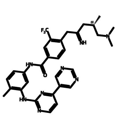 Cc1ccc(NC(=O)c2ccc(CC(=N)C[C@H](C)CN(C)C)c(C(F)(F)F)c2)cc1Nc1nccc(-c2cncnc2)n1